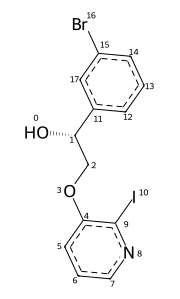 O[C@@H](COc1cccnc1I)c1cccc(Br)c1